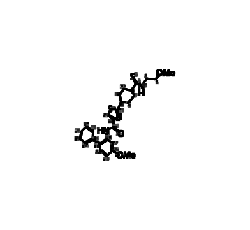 COCCNC(=S)C1CCC(c2nc(C(=O)Nc3cc(OC)ccc3-c3ccccc3)cs2)CC1